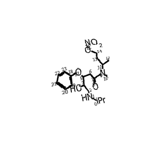 CC(C)NCC(O)C(CC(=O)N(C)C(C)CCO[N+](=O)[O-])Oc1ccccc1